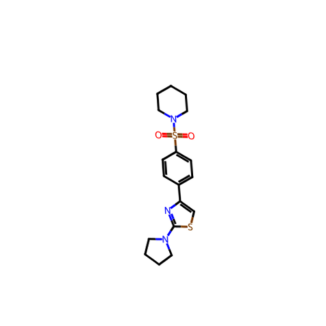 O=S(=O)(c1ccc(-c2csc(N3CCCC3)n2)cc1)N1CCCCC1